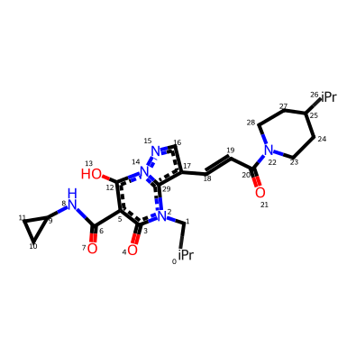 CC(C)Cn1c(=O)c(C(=O)NC2CC2)c(O)n2ncc(C=CC(=O)N3CCC(C(C)C)CC3)c12